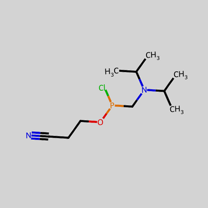 CC(C)N(CP(Cl)OCCC#N)C(C)C